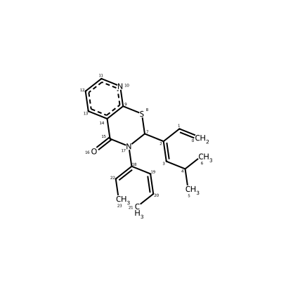 C=C/C(=C\C(C)C)C1Sc2ncccc2C(=O)N1C(/C=C\C)=C/C